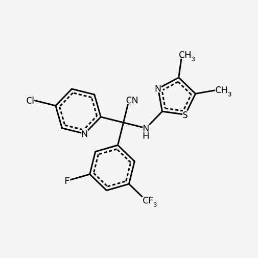 Cc1nc(NC(C#N)(c2cc(F)cc(C(F)(F)F)c2)c2ccc(Cl)cn2)sc1C